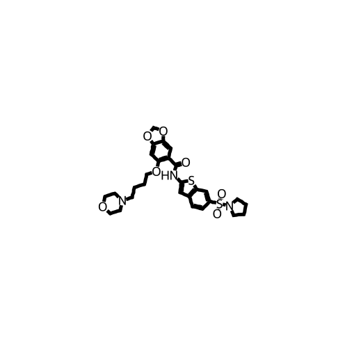 O=C(Nc1cc2ccc(S(=O)(=O)N3CCCC3)cc2s1)c1cc2c(cc1OCCCCN1CCOCC1)OCO2